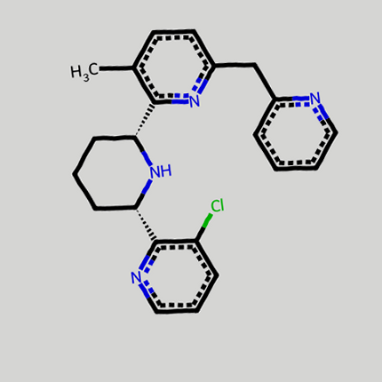 Cc1ccc(Cc2ccccn2)nc1[C@H]1CCC[C@@H](c2ncccc2Cl)N1